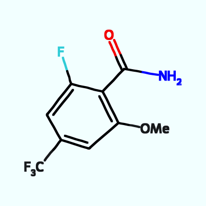 COc1cc(C(F)(F)F)cc(F)c1C(N)=O